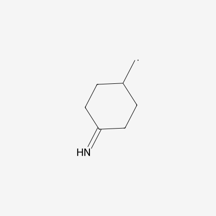 [CH2]C1CCC(=N)CC1